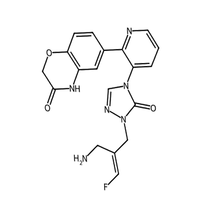 NC/C(=C\F)Cn1ncn(-c2cccnc2-c2ccc3c(c2)NC(=O)CO3)c1=O